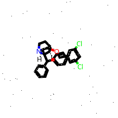 Clc1cc(Cl)cc(CO[C@@H]2C3CCN(CC3)[C@@H]2C(c2ccccc2)c2ccccc2)c1